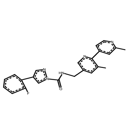 Cc1cc(-c2ncc(CNC(=O)n3cc(-c4ccccc4F)cn3)cc2C)ccn1